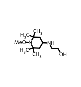 CON1C(C)(C)CC(NCCO)CC1(C)C